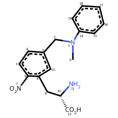 CN(Cc1ccc([N+](=O)[O-])c(C[C@H](N)C(=O)O)c1)c1ccccc1